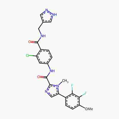 COc1ccc(-c2cnc(C(=O)Nc3ccc(C(=O)NCc4cn[nH]c4)c(Cl)c3)n2C)c(F)c1F